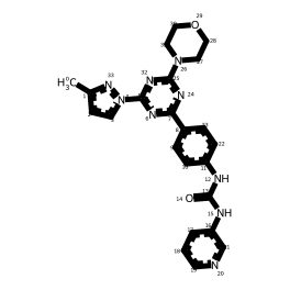 Cc1ccn(-c2nc(-c3ccc(NC(=O)Nc4cccnc4)cc3)nc(N3CCOCC3)n2)n1